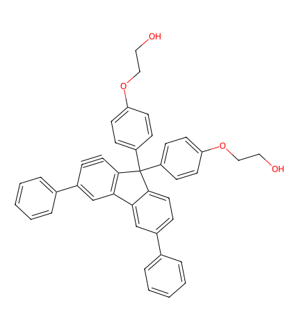 OCCOc1ccc(C2(c3ccc(OCCO)cc3)c3c#cc(-c4ccccc4)cc3-c3cc(-c4ccccc4)ccc32)cc1